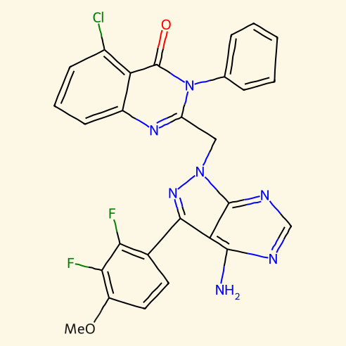 COc1ccc(-c2nn(Cc3nc4cccc(Cl)c4c(=O)n3-c3ccccc3)c3ncnc(N)c23)c(F)c1F